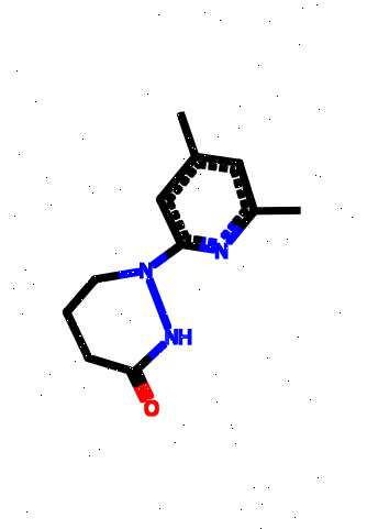 Cc1cc(C)nc(N2CCCC(=O)N2)c1